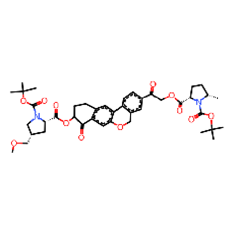 COC[C@H]1C[C@@H](C(=O)OC2CCc3cc4c(cc3C2=O)OCc2cc(C(=O)COC(=O)[C@@H]3CC[C@H](C)N3C(=O)OC(C)(C)C)ccc2-4)N(C(=O)OC(C)(C)C)C1